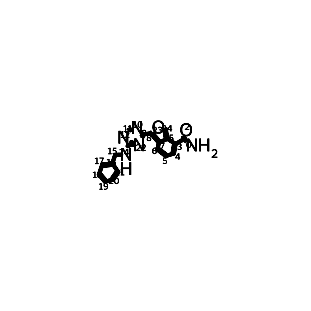 NC(=O)c1cccc2c(-c3ncnc(NCc4ccccc4)n3)occ12